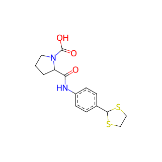 O=C(Nc1ccc(C2SCCS2)cc1)C1CCCN1C(=O)O